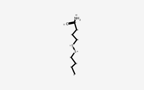 CCCCSSCCCC(N)=O